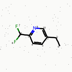 C[CH]c1ccc(C(F)F)nc1